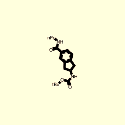 CCCNC(=O)c1ccc2c(c1)CC(NC(=O)OC(C)(C)C)C2